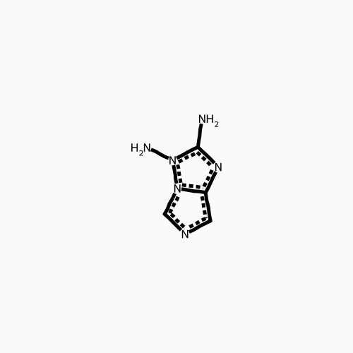 Nc1nc2cncn2n1N